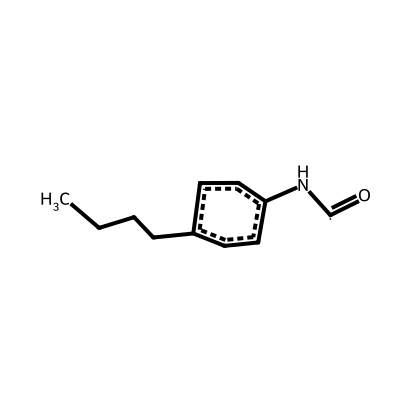 CCCCc1ccc(N[C]=O)cc1